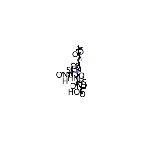 CC(C)(C)OC(=O)/C=C/CO/N=C(/C(=O)NC1C(=O)N2C(C(=O)O)=CCS[C@H]12)c1nc(NC=O)sc1Cl